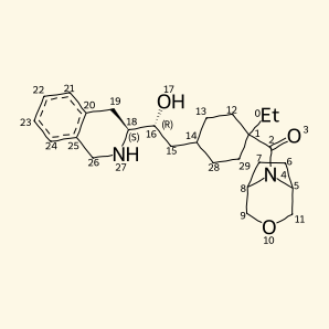 CCC1(C(=O)N2C3CCC2COC3)CCC(C[C@@H](O)[C@@H]2Cc3ccccc3CN2)CC1